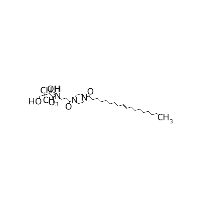 CCCCCCCCC=CCCCCCCCC(=O)N1CCN(C(=O)CCNC(=O)C(O)C(C)(C)CO)CC1